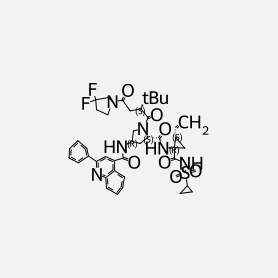 C=C[C@@H]1C[C@]1(NC(=O)[C@@H]1C[C@@H](NC(=O)c2cc(-c3ccccc3)nc3ccccc23)CN1C(=O)[C@@H](CC(=O)N1CCC(F)(F)C1)C(C)(C)C)C(=O)NS(=O)(=O)C1CC1